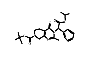 Cc1nc2c(c(=O)n1C(C(=O)OC(C)C)c1ccccc1)CCN(C(=O)OC(C)(C)C)C2